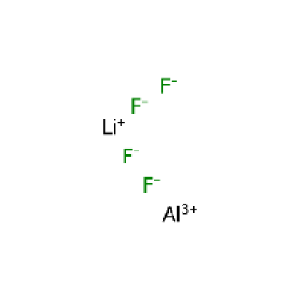 [Al+3].[F-].[F-].[F-].[F-].[Li+]